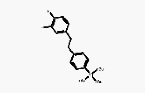 CCC[CH2][Sn]([CH2]CCC)([CH2]CCC)[c]1ccc(CCc2ccc(F)c(F)c2)cc1